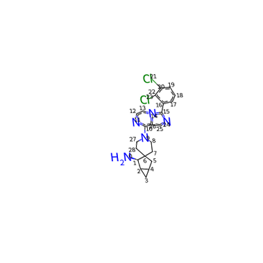 N[C@@H]1C2CC2CC12CCN(c1nccn3c(-c4cccc(Cl)c4Cl)ncc13)CC2